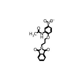 CC(=O)Nc1cc([N+](=O)[O-])ccc1OCCCN1C(=O)c2ccccc2C1=O